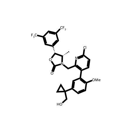 COc1ccc(C2(CO)CC2)cc1-c1ccc(Cl)nc1CN1C(=O)O[C@H](c2cc(C(F)(F)F)cc(C(F)(F)F)c2)[C@@H]1C